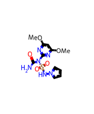 COc1cc(OC)nc(N(C(N)=O)S(=O)(=O)Nn2cccc2)n1